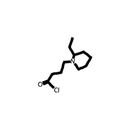 CCC1CCCCN1CCCC(=O)Cl